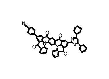 N#Cc1ccc(-c2cc3c(=O)c4ccccc4n4c5cc6c(cc5c(=O)c(c2)c34)c(=O)c2cc(-c3nc(-c4ccccc4)cc(-c4ccccc4)n3)cc3c(=O)c4ccccc4n6c32)cc1